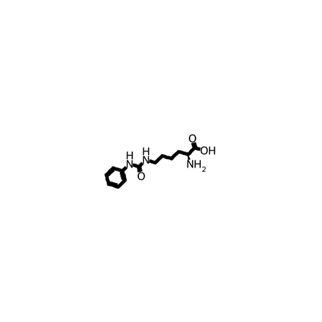 N[C@@H](CCCCNC(=O)Nc1ccccc1)C(=O)O